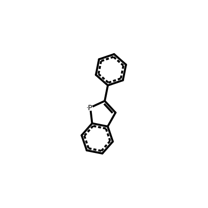 C1=C(c2ccccc2)[P]c2ccccc21